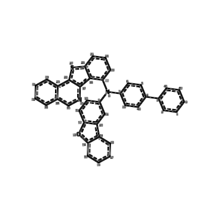 c1ccc(-c2ccc(N(c3ccc4oc5ccccc5c4c3)c3cccc4sc5c6ccccc6cnc5c34)cc2)cc1